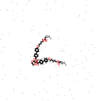 C=CC(=O)OCCCCCOc1ccc(-c2ccc(C(=O)O[C@@H]3OCCO[C@H]3OC(=O)c3ccc(-c4ccc(OCCCCCOC(=O)C=C)cc4)cc3)cc2)cc1